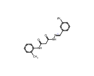 Cc1ccccc1NC(=O)CC(=O)N/N=C/c1cccc(C(C)C)c1